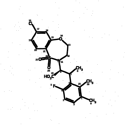 Cc1ccc(F)c(C(C)[C@@H](C(=O)O)N2CCOc3cc(Cl)ccc3S2(=O)=O)c1C